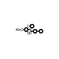 COc1cc(Cl)c(N(C(=O)c2ccc(-c3ccccc3)cc2)c2ccccc2)c(Cl)c1